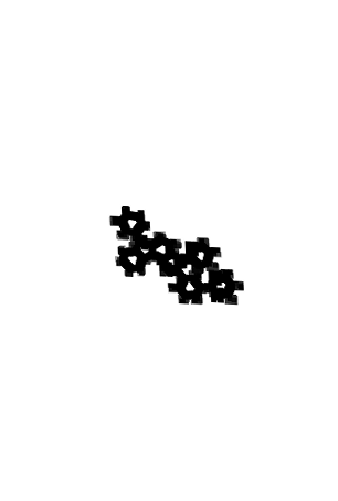 c1ccc(-n2c3ccccc3c3c4nc(-c5cccc(-c6ncccn6)c5)n(-c5ccccn5)c4ccc32)cc1